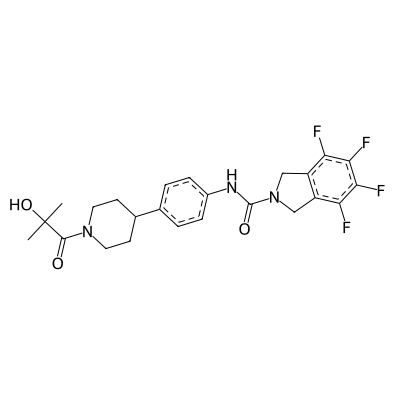 CC(C)(O)C(=O)N1CCC(c2ccc(NC(=O)N3Cc4c(F)c(F)c(F)c(F)c4C3)cc2)CC1